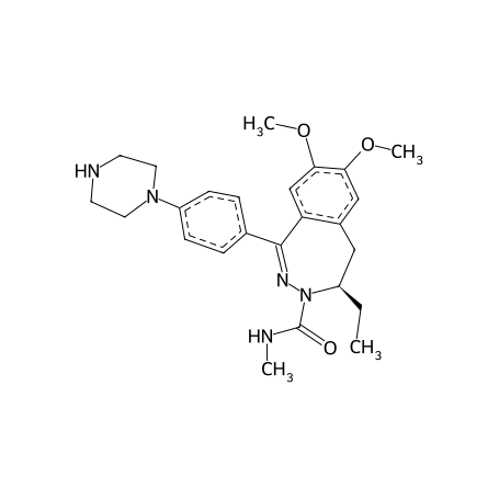 CC[C@@H]1Cc2cc(OC)c(OC)cc2C(c2ccc(N3CCNCC3)cc2)=NN1C(=O)NC